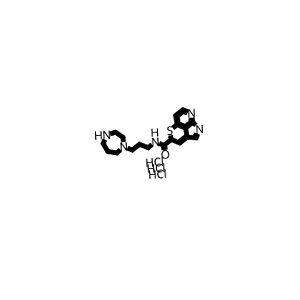 Cl.Cl.Cl.O=C(NCCCN1CCCNCC1)C1C=C2C=Nc3nccc(c32)S1